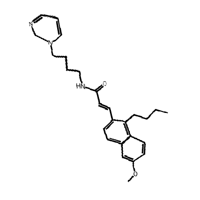 CCCCc1c(/C=C/C(=O)NCCCCN2C=CC=NC2)ccc2cc(OC)ccc12